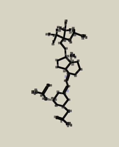 CC(=O)OC1C/C(=C/C=C2\CCC[C@]3(C)C(CCC(OC(C)=O)(C(F)(F)F)C(F)(F)F)CCC23)C[C@@H](OC(C)=O)C1